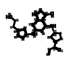 C=CC(=O)N1CC[C@@H](Nc2nc(Nc3cnn(CCO)c3)nc3[nH]cc(Cl)c23)C1